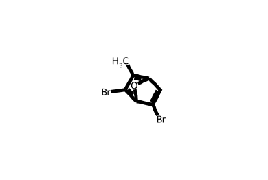 Cc1c(Br)c2oc1cc2Br